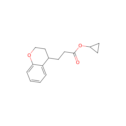 O=C(CCC1CCOc2ccccc21)OC1CC1